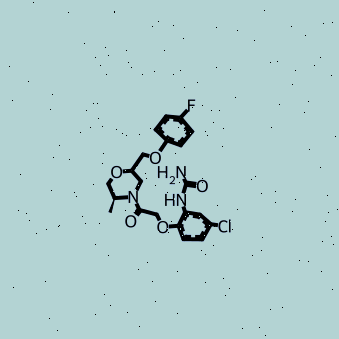 C[C@H]1COC(COc2ccc(F)cc2)CN1C(=O)COc1ccc(Cl)cc1NC(N)=O